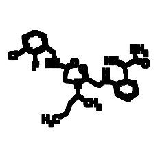 CCCC(C)N(CC(=O)NCc1cccc(Cl)c1F)C(=O)CNc1ccccc1C(=N)C(N)=O